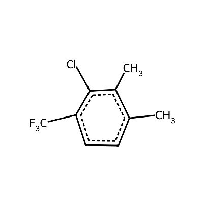 Cc1ccc(C(F)(F)F)c(Cl)c1C